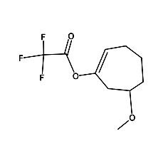 COC1CCCC=C(OC(=O)C(F)(F)F)C1